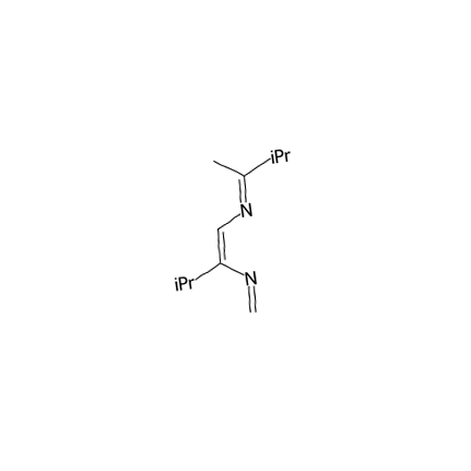 C=N/C(=C\N=C(/C)C(C)C)C(C)C